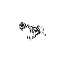 CCCC[Si](C)(C)O[Si](C)(C)CCCOCCOP1(=O)OCCO1